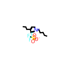 CCCCC[n+]1ccc(CCC)cc1.O=S(=O)([O-])C(F)(F)F